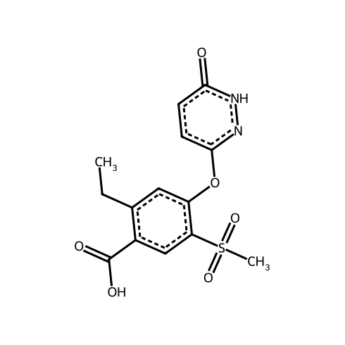 CCc1cc(Oc2ccc(=O)[nH]n2)c(S(C)(=O)=O)cc1C(=O)O